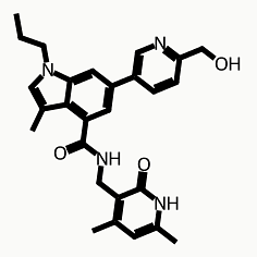 CCCn1cc(C)c2c(C(=O)NCc3c(C)cc(C)[nH]c3=O)cc(-c3ccc(CO)nc3)cc21